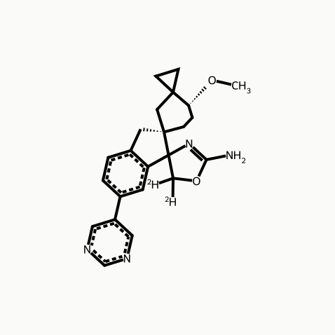 [2H]C1([2H])OC(N)=NC12c1cc(-c3cncnc3)ccc1C[C@]21CC[C@@H](OC)C2(CC2)C1